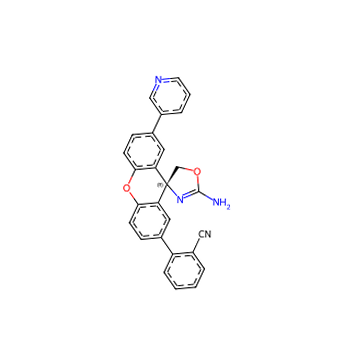 N#Cc1ccccc1-c1ccc2c(c1)[C@]1(COC(N)=N1)c1cc(-c3cccnc3)ccc1O2